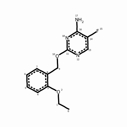 CCOc1ccccc1COc1ncc(F)c(N)n1